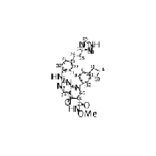 CONC(=O)c1cn(-c2ccc3c(c2)CCC3)c2nc(Nc3ccc(CCc4nc[nH]n4)cc3)ncc2c1=O